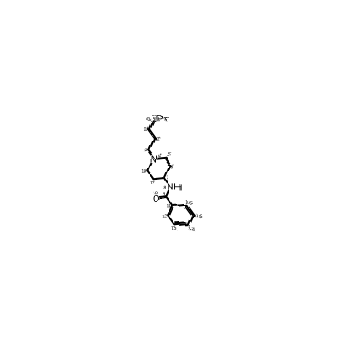 CC(C)CCCN1CCC(NC(=O)c2ccccc2)CC1